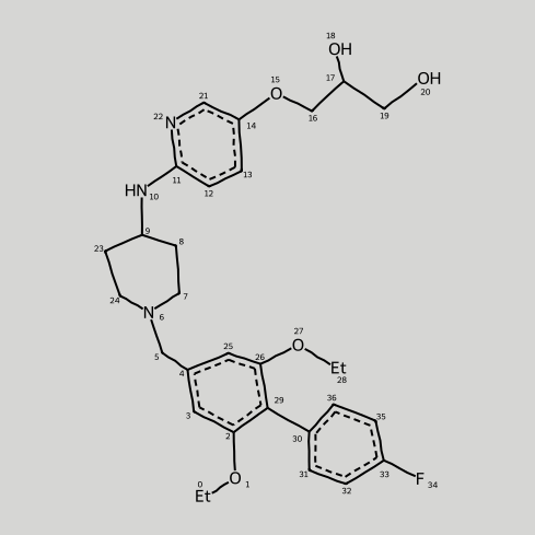 CCOc1cc(CN2CCC(Nc3ccc(OCC(O)CO)cn3)CC2)cc(OCC)c1-c1ccc(F)cc1